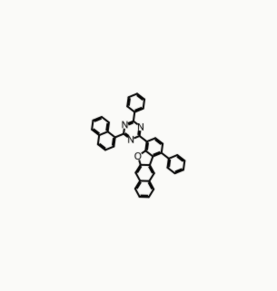 c1ccc(-c2nc(-c3cccc4ccccc34)nc(-c3ccc(-c4ccccc4)c4c3oc3cc5ccccc5cc34)n2)cc1